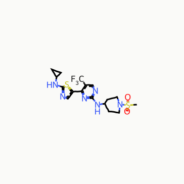 CS(=O)(=O)N1CCC(Nc2ncc(C(F)(F)F)c(-c3cnc(NC4CC4)s3)n2)CC1